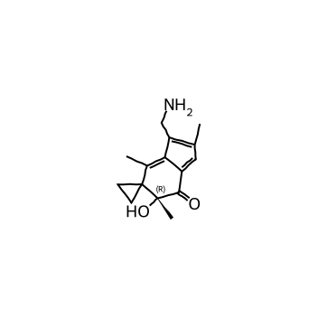 CC1=C(CN)C2=C(C)C3(CC3)[C@@](C)(O)C(=O)C2=C1